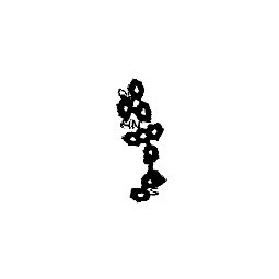 Oc1cccc(-c2ccccc2Nc2c3ccccc3c(-c3ccc(-c4ccc5sc6ccccc6c5c4)cc3)c3ccccc23)c1-c1ccccc1